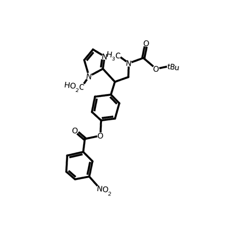 CN(CC(c1ccc(OC(=O)c2cccc([N+](=O)[O-])c2)cc1)c1nccn1C(=O)O)C(=O)OC(C)(C)C